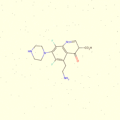 NCCc1c(F)c(N2CCNCC2)c(F)c2c1C(=O)C(C(=O)O)C=N2